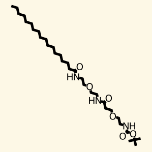 CCCCCCCCCCCCCCCCCC(=O)NCCOCCNC(=O)CCOCCNC(=O)OC(C)(C)C